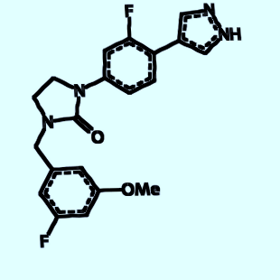 COc1cc(F)cc(CN2CCN(c3ccc(-c4cn[nH]c4)c(F)c3)C2=O)c1